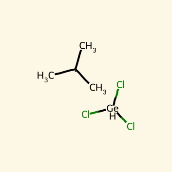 C[C](C)C.[Cl][GeH]([Cl])[Cl]